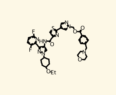 CCOC1CCC(n2cc(NC(=O)c3csc(-c4cnn(COC(=O)c5ccc(CN6CCOCC6)cc5)c4)n3)c(-c3nc(F)ccc3F)n2)CC1